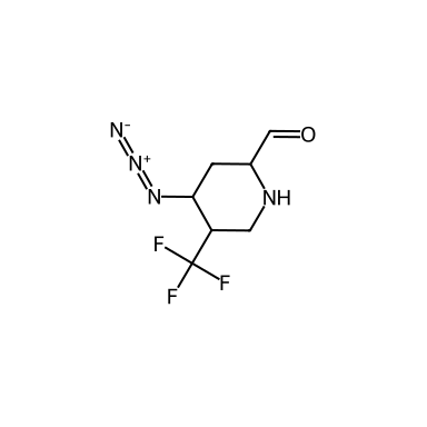 [N-]=[N+]=NC1CC(C=O)NCC1C(F)(F)F